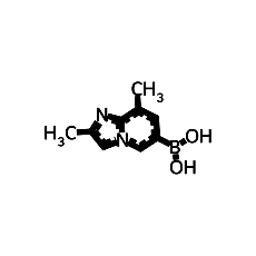 Cc1cn2cc(B(O)O)cc(C)c2n1